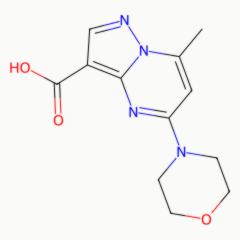 Cc1cc(N2CCOCC2)nc2c(C(=O)O)cnn12